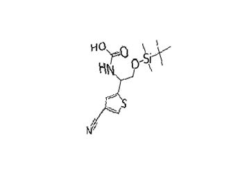 CC(C)(C)[Si](C)(C)OCC(NC(=O)O)c1cc(C#N)cs1